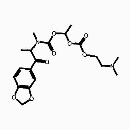 CC(OC(=O)OCCN(C)C)OC(=O)N(C)C(C)C(=O)c1ccc2c(c1)OCO2